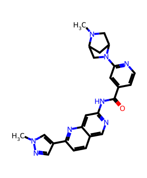 CN1CC2CC1CN2c1cc(C(=O)Nc2cc3nc(-c4cnn(C)c4)ccc3cn2)ccn1